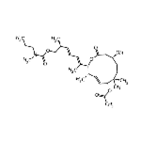 CCCN(C)C(=O)OC[C@@H](C)/C=C/C=C(\C)[C@H]1OC(=O)C[C@@H](O)CC[C@](C)(O)[C@H](OC(C)=O)/C=C/[C@@H]1C